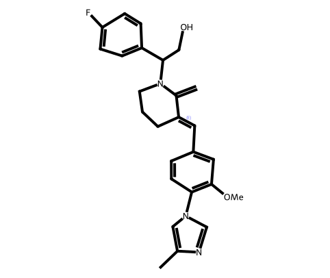 C=C1/C(=C/c2ccc(-n3cnc(C)c3)c(OC)c2)CCCN1C(CO)c1ccc(F)cc1